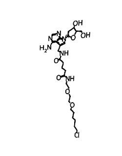 Nc1ncnc2c1c(CNC(=O)CCCC(=O)NCCOCCOCCCCCCCl)cn2[C@H]1CC(O)C(CO)O1